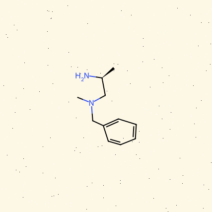 C[C@H](N)CN(C)Cc1ccccc1